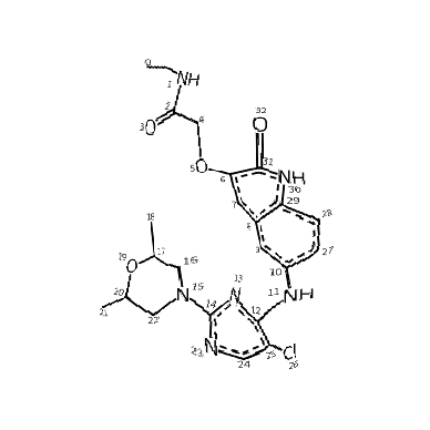 CNC(=O)COc1cc2cc(Nc3nc(N4CC(C)OC(C)C4)ncc3Cl)ccc2[nH]c1=O